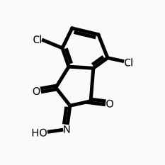 O=c1c(=NO)c(=O)c2c(Cl)ccc(Cl)c12